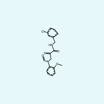 COc1ccccc1N(C=O)CC(=O)C(=O)NCc1cccc(Cl)c1